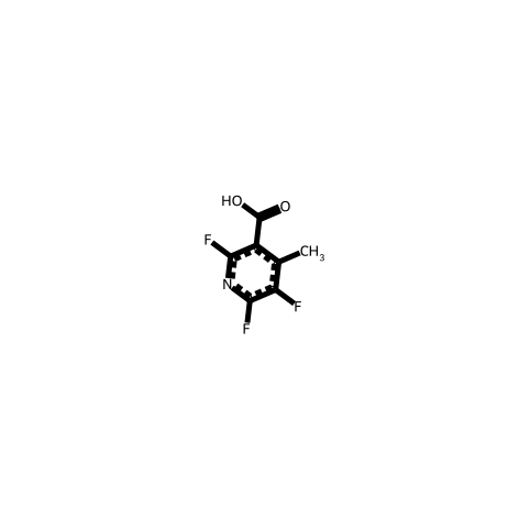 Cc1c(F)c(F)nc(F)c1C(=O)O